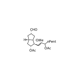 CCCCCC(C=C[C@H]1[C@H](OC(C)=O)C[C@@H]2C[C@H](C=O)C[C@]21OC)OC(C)=O